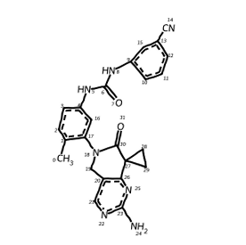 Cc1ccc(NC(=O)Nc2cccc(C#N)c2)cc1N1Cc2cnc(N)nc2C2(CC2)C1=O